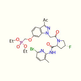 CCOP(=O)(COc1ccc2c(C(C)=O)nn(CC(=O)N3C[C@H](F)C[C@H]3C(=O)Nc3nc(Br)ccc3C)c2c1)OCC